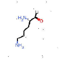 [Li][C](=O)[C@@H](N)CCCCN